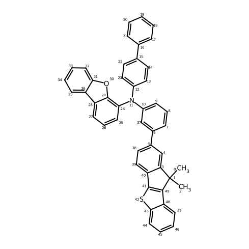 CC1(C)c2cc(-c3cccc(N(c4ccc(-c5ccccc5)cc4)c4cccc5c4oc4ccccc45)c3)ccc2-c2sc3ccccc3c21